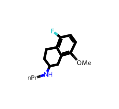 CCCNC1CCc2c(F)ccc(OC)c2C1